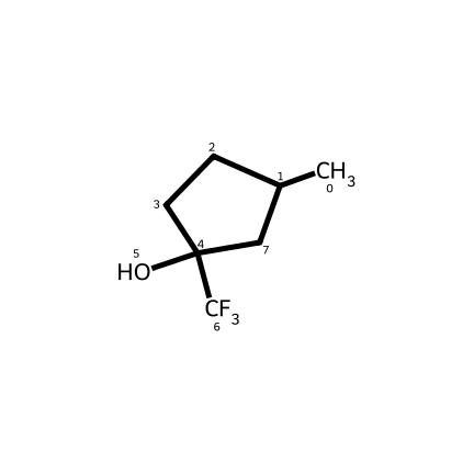 CC1CCC(O)(C(F)(F)F)C1